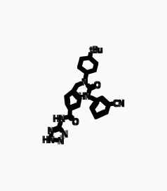 CC(C)(C)C1CCC(N(Cc2ccc(C(=O)Nc3nn[nH]n3)cc2)C(=O)Nc2cccc(C#N)c2)CC1